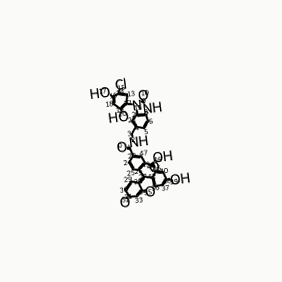 O=C(NCc1ccc2[nH]c(=O)n(-c3cc(Cl)c(O)cc3O)c2c1)c1ccc(-c2c3ccc(=O)cc-3oc3cc(O)ccc23)c(C(=O)O)c1